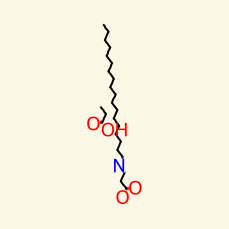 CCC(=O)O.CCCCCCCCCCCCCCCCCCN=CCC(=O)OC